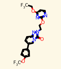 O=c1n(CCOc2nccc(OCC(F)(F)F)n2)nc2ccc(-c3ccc(OC(F)(F)F)cc3)cn12